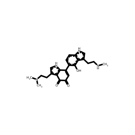 CNCCc1c[nH]c2ccc(C3=CC(=O)C(=O)c4c(CCN(C)C)c[nH]c43)c(O)c12